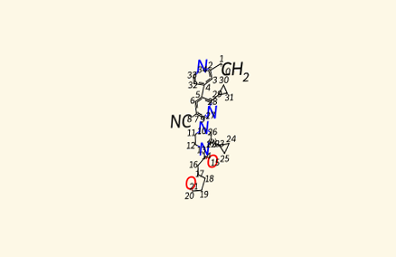 C=Cc1cc(-c2cc(C#N)c(N3CCN(C(=O)CC4CCCO4)[C@H](C4CC4)C3)nc2C2CC2)ccn1